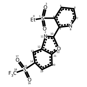 CCS(=O)(=O)c1cccnc1-c1nc2cc(S(=O)(=O)C(F)(F)F)ccc2o1